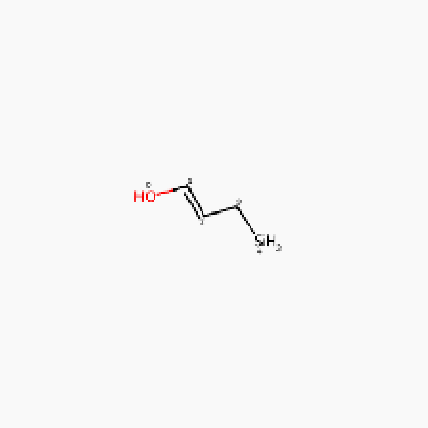 O/C=C/C[SiH3]